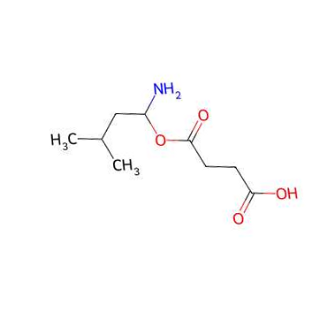 CC(C)CC(N)OC(=O)CCC(=O)O